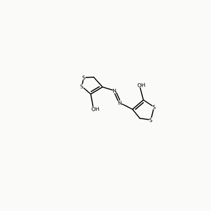 OC1=C(N=NC2=C(O)SSC2)CSS1